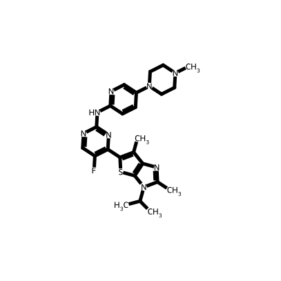 Cc1c(-c2nc(Nc3ccc(N4CCN(C)CC4)cn3)ncc2F)sc2c1nc(C)n2C(C)C